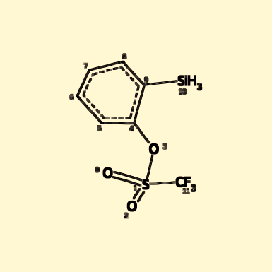 O=S(=O)(Oc1ccccc1[SiH3])C(F)(F)F